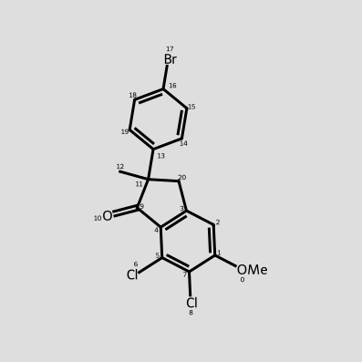 COc1cc2c(c(Cl)c1Cl)C(=O)C(C)(c1ccc(Br)cc1)C2